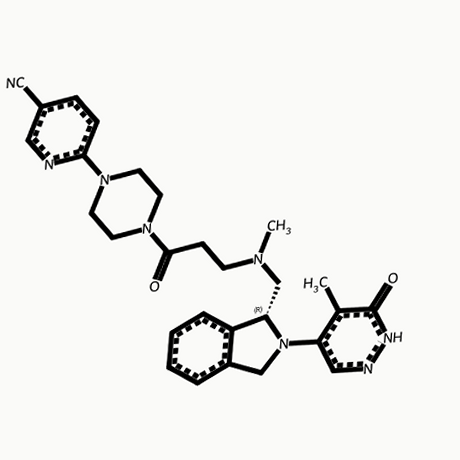 Cc1c(N2Cc3ccccc3[C@@H]2CN(C)CCC(=O)N2CCN(c3ccc(C#N)cn3)CC2)cn[nH]c1=O